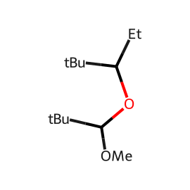 CCC(OC(OC)C(C)(C)C)C(C)(C)C